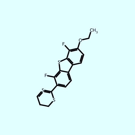 CCOc1ccc2c(sc3c(F)c(C4=S=CCCS4)ccc32)c1F